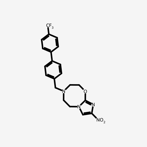 O=[N+]([O-])c1cn2c(n1)OCCN(Cc1ccc(-c3ccc(C(F)(F)F)cc3)cc1)CC2